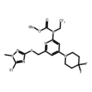 CCc1nc(SCc2cc(N3CCC(F)(F)CC3)cc(N(CC(F)(F)F)C(=O)OC(C)(C)C)n2)nn1C